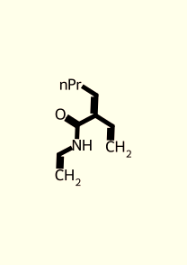 C=CNC(=O)C(C=C)=CCCC